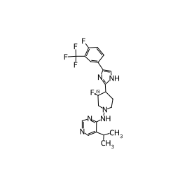 CC(C)c1cncnc1NN1CCC(c2nc(-c3ccc(F)c(C(F)(F)F)c3)c[nH]2)[C@H](F)C1